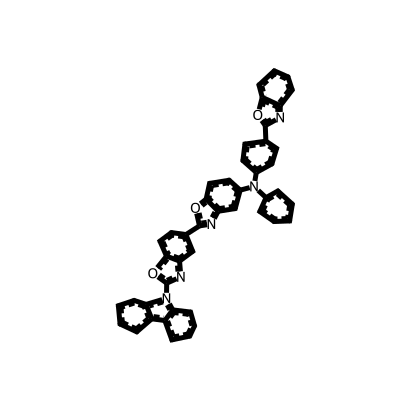 c1ccc(N(c2ccc(-c3nc4ccccc4o3)cc2)c2ccc3oc(-c4ccc5oc(-n6c7ccccc7c7ccccc76)nc5c4)nc3c2)cc1